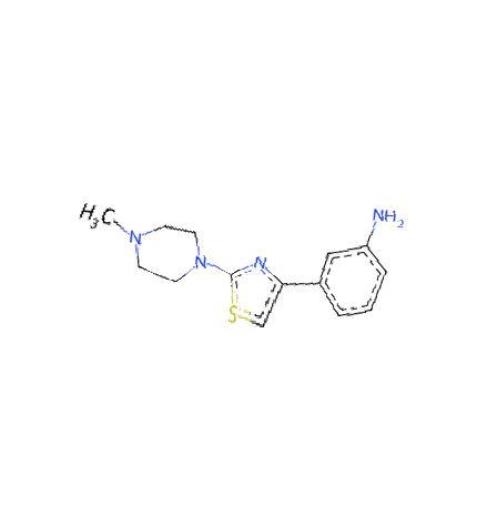 CN1CCN(c2nc(-c3cccc(N)c3)cs2)CC1